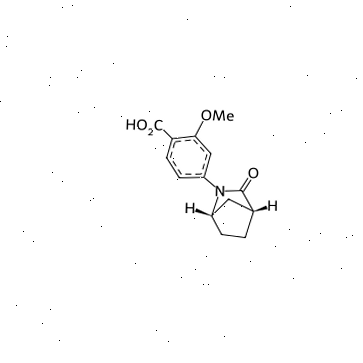 COc1cc(N2C(=O)[C@@H]3CC[C@H]2C3)ccc1C(=O)O